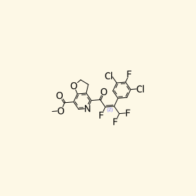 COC(=O)c1cnc(C(=O)/C(F)=C(\c2cc(Cl)c(F)c(Cl)c2)C(F)F)c2c1OCC2